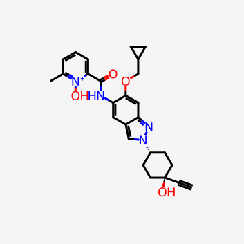 C#C[C@]1(O)CC[C@H](n2cc3cc(NC(=O)c4cccc(C)[n+]4O)c(OCC4CC4)cc3n2)CC1